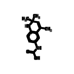 CC1=CC(C)(C)Nc2ccc(NC(=O)O)cc21